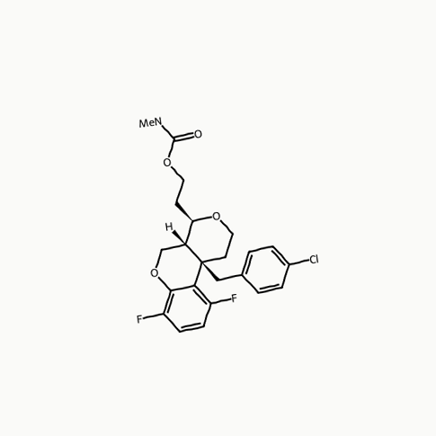 CNC(=O)OCC[C@H]1OCC[C@]2(Cc3ccc(Cl)cc3)c3c(F)ccc(F)c3OC[C@H]12